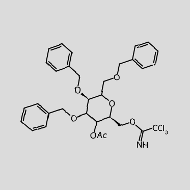 CC(=O)OC1C(OCc2ccccc2)[C@@H](OCc2ccccc2)C(COCc2ccccc2)O[C@H]1COC(=N)C(Cl)(Cl)Cl